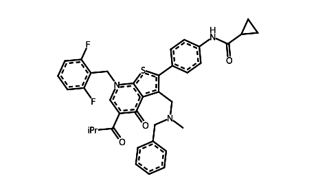 CC(C)C(=O)c1cn(Cc2c(F)cccc2F)c2sc(-c3ccc(NC(=O)C4CC4)cc3)c(CN(C)Cc3ccccc3)c2c1=O